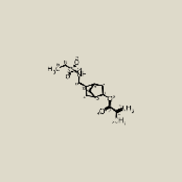 C=C(C)C(=O)OC1CC2CC1CC2CNS(=O)(=O)CC